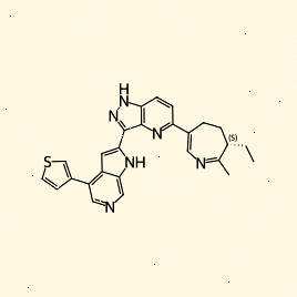 CC[C@H]1CCC(c2ccc3[nH]nc(-c4cc5c(-c6ccsc6)cncc5[nH]4)c3n2)=CN=C1C